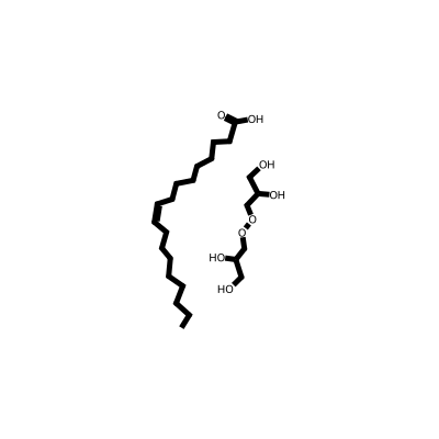 CCCCCCCC/C=C\CCCCCCCC(=O)O.OCC(O)COOCC(O)CO